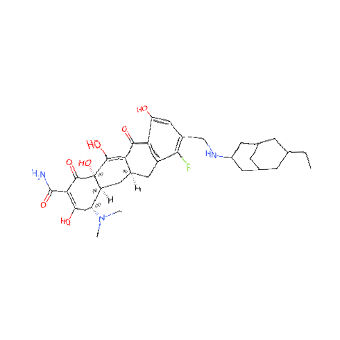 CCC1CC2CC(C1)CC(NCc1cc(O)c3c(c1F)C[C@H]1C[C@H]4[C@H](N(C)C)C(O)=C(C(N)=O)C(=O)[C@@]4(O)C(O)=C1C3=O)C2